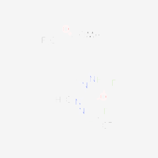 COC(=O)c1cc(-c2cnn(-c3c(OC(F)F)c(C(F)(F)C(F)(F)F)nn3C)c2)ccc1C(F)(F)F